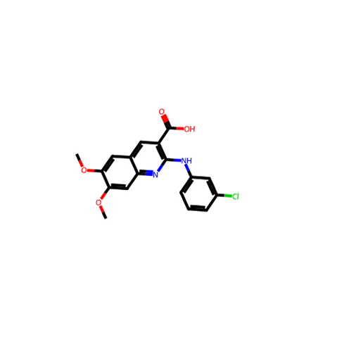 COc1cc2cc(C(=O)O)c(Nc3cccc(Cl)c3)nc2cc1OC